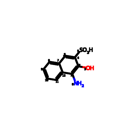 Nc1c(O)c(S(=O)(=O)O)[c]c2ccccc12